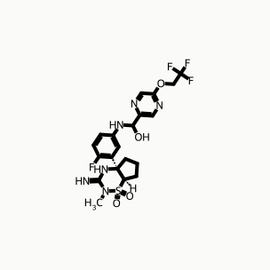 CN1C(=N)N[C@@]2(c3cc(NC(O)c4cnc(OCC(F)(F)F)cn4)ccc3F)CCC[C@H]2S1(=O)=O